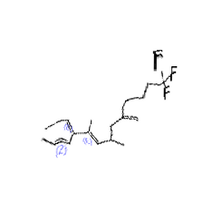 C=C(CCCC(F)(F)F)CC(C)/C=C(C)/C(/C=C\C)=C/C